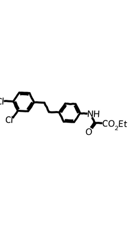 CCOC(=O)C(=O)Nc1ccc(CCc2ccc(Cl)c(Cl)c2)cc1